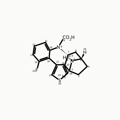 CN1[C@@H]2CC[C@H]1C[C@@H](N(C(=O)O)c1cccc(F)c1-c1ccsc1)C2